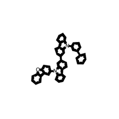 c1ccc(-c2cccc(-n3c4ccccc4c4ccc(-c5ccc6c7ccccc7n(-c7ccc8oc9ccccc9c8c7)c6c5)cc43)c2)cc1